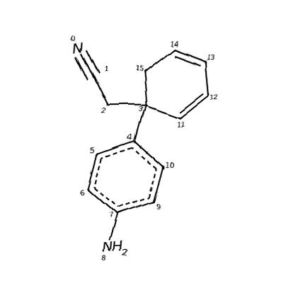 N#CCC1(c2ccc(N)cc2)C=CC=CC1